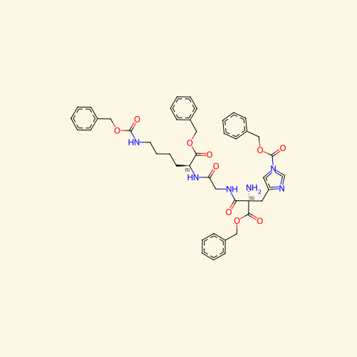 N[C@@](Cc1cn(C(=O)OCc2ccccc2)cn1)(C(=O)NCC(=O)N[C@@H](CCCCNC(=O)OCc1ccccc1)C(=O)OCc1ccccc1)C(=O)OCc1ccccc1